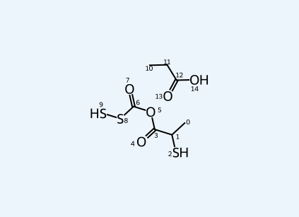 CC(S)C(=O)OC(=O)SS.CCC(=O)O